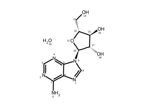 Nc1ncnc2c1ncn2[C@H]1O[C@H](CO)[C@@H](O)[C@@H]1O.O